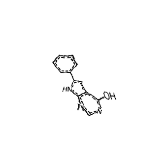 Oc1ncnc2[nH]c(-c3ccccc3)cc12